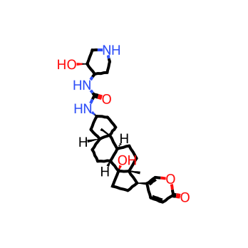 C[C@]12CC[C@H](NC(=O)NC3CCNC[C@@H]3O)C[C@H]1CC[C@@H]1[C@@H]2CC[C@]2(C)[C@@H](c3ccc(=O)oc3)CC[C@]12O